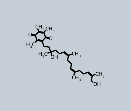 CC(=CCCC(C)=CCCC(C)=CCCC(C)(O)CCC1=C(C)C(=O)C(C)=C(C)C1=O)CO